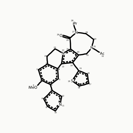 COc1cc2c(cc1-c1cccnc1)-c1c(-c3cccs3)c3c(n1CC2)C(=O)N(C(C)C)CCN(C(C)=O)C3